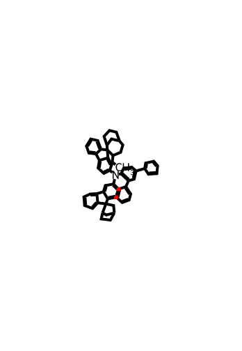 CCC1CCC2CCCC(C2)C12c1ccccc1-c1ccc(N(c3ccc4c(c3)-c3ccccc3C43CC4CCC3C4)c3ccc(-c4ccccc4)cc3-c3ccccc3)cc12